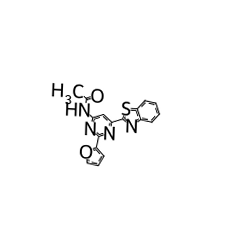 CC(=O)Nc1cc(-c2nc3ccccc3s2)nc(-c2ccco2)n1